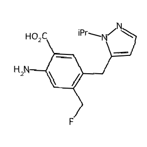 CC(C)n1nccc1Cc1cc(C(=O)O)c(N)cc1CF